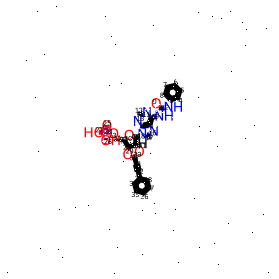 O=C(Nc1ccccc1)Nc1ncnc2c1ncn2[C@@H]1O[C@H](COP(=O)(O)O)C2OC(C#Cc3ccccc3)O[C@@H]21